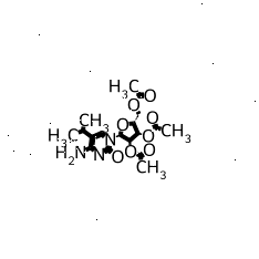 CC(=O)OC[C@H]1O[C@@H](n2cc(C(C)C)c(N)nc2=O)[C@H](OC(C)=O)[C@H]1OC(C)=O